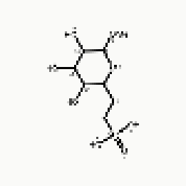 COC1OC(CCP(=O)(O)O)C(O)C(O)C1O